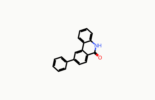 O=c1[nH]c2ccccc2c2cc(-c3ccccc3)ccc12